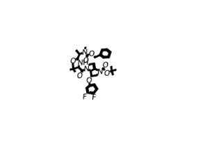 CC(C(=O)NC(C(=O)N1CC=C2C1C(Oc1ccc(F)c(F)c1)CN2C(=O)OC(C)(C)C)C(C)(C)C)N(C)C(=O)OCc1ccccc1